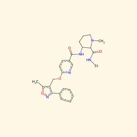 CCNC(=O)C1C(NC(=O)c2ccc(OCc3c(-c4ccccc4)noc3C)nc2)CCCN1C